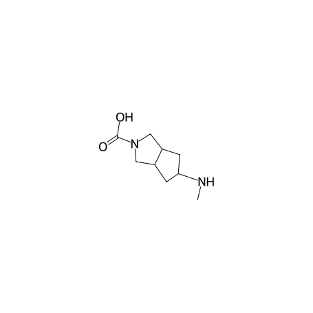 CNC1CC2CN(C(=O)O)CC2C1